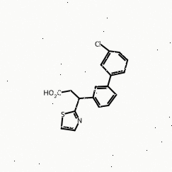 O=C(O)CC(c1cccc(-c2cccc(Cl)c2)c1)c1nccs1